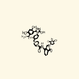 CC(C)c1cc(-c2nnc(O)n2-c2ccc(CN3CCN(C(=O)Nc4cccc5c4CN(C4CCC(=O)NC4=O)C5=O)CC3)cc2)c(O)cc1O